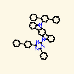 c1ccc(-c2ccc(-c3nc(-c4ccccc4)nc(-n4c5ccccc5c5cc6c(cc54)c4ccccc4n6-c4cc(-c5ccccc5)ccc4-c4ccccc4)n3)cc2)cc1